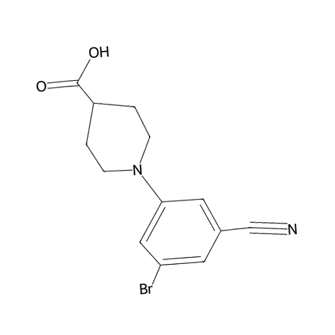 N#Cc1cc(Br)cc(N2CCC(C(=O)O)CC2)c1